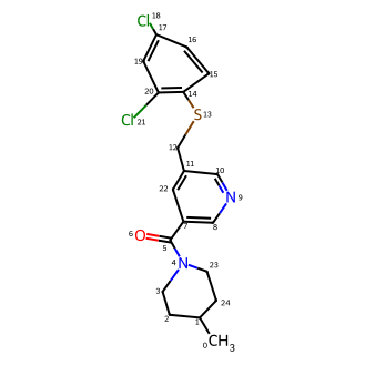 CC1CCN(C(=O)c2cncc(CSc3ccc(Cl)cc3Cl)c2)CC1